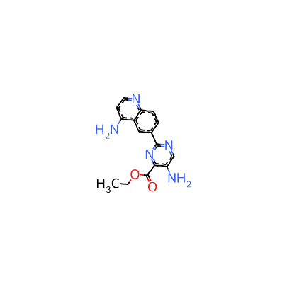 CCOC(=O)c1nc(-c2ccc3nccc(N)c3c2)ncc1N